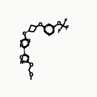 COCOc1cc(-c2cnc(O[C@H]3C[C@H](Oc4cccc(OC(F)(F)F)c4)C3)cn2)on1